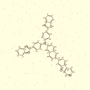 c1ccc2oc(-c3ccc(N(c4ccc(-c5nc6ccccc6o5)cc4)c4ccc5cc(-c6ccc7c(c6)oc6cnccc67)ccc5c4)cc3)nc2c1